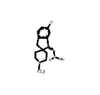 CC(C)(C)[S+]([O-])/N=C1/c2cc(Br)ccc2CC12CCN(C(=O)O)CC2